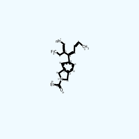 C\C=C/C=C(\C(=C\CCC)CC(F)(F)F)c1ccc2c(c1)CN(C(=O)CC)C2